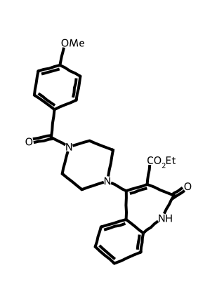 CCOC(=O)c1c(N2CCN(C(=O)c3ccc(OC)cc3)CC2)c2ccccc2[nH]c1=O